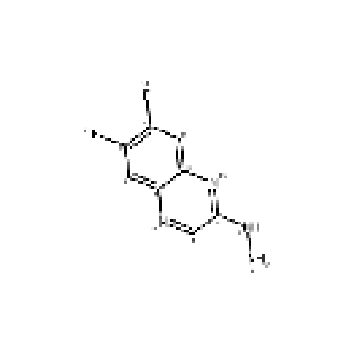 NNc1cnc2cc(F)c(F)cc2n1